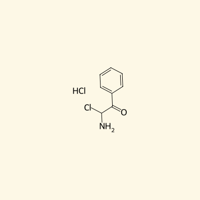 Cl.NC(Cl)C(=O)c1ccccc1